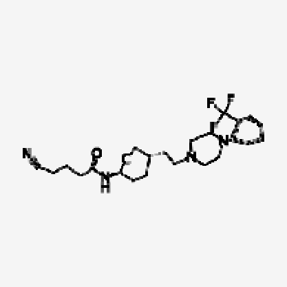 N#CCCCC(=O)N[C@H]1CC[C@H](CCN2CCN(c3ccccc3C(F)(F)F)CC2)CC1